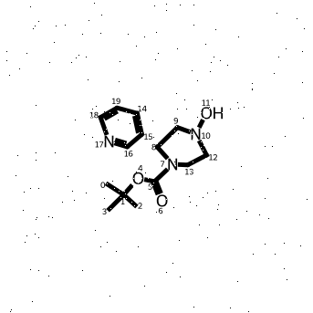 CC(C)(C)OC(=O)N1CCN(O)CC1.c1ccncc1